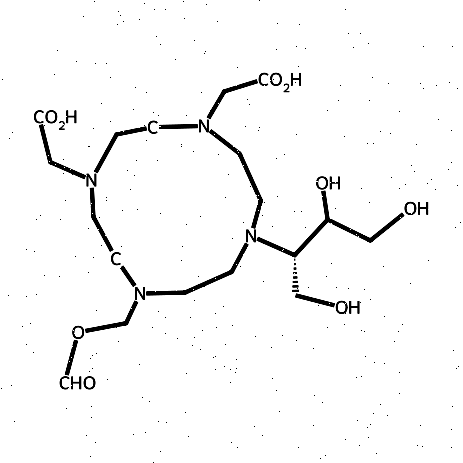 O=COCN1CCN(CC(=O)O)CCN(CC(=O)O)CCN([C@@H](CO)C(O)CO)CC1